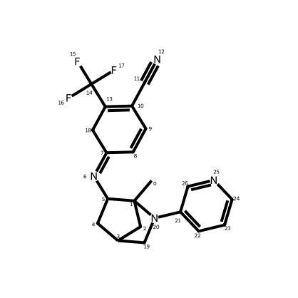 CC12CC(CC1N=C1C=CC(C#N)=C(C(F)(F)F)C1)CN2c1cccnc1